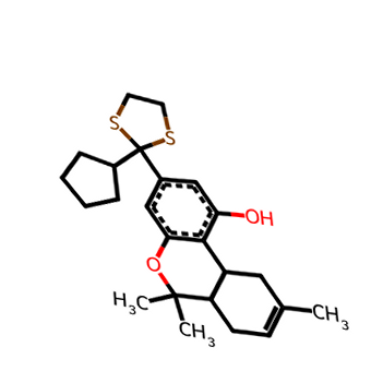 CC1=CCC2C(C1)c1c(O)cc(C3(C4CCCC4)SCCS3)cc1OC2(C)C